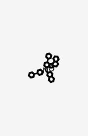 c1ccc(-c2ccc(N(c3ccc4ccccc4c3)c3ccc(-c4ccccc4)c4c3oc3ccc5ccccc5c34)cc2)cc1